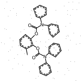 Cc1cccc(OC(=O)N(c2ccccc2)c2ccccc2)c1OC(=O)N(c1ccccc1)c1ccccc1